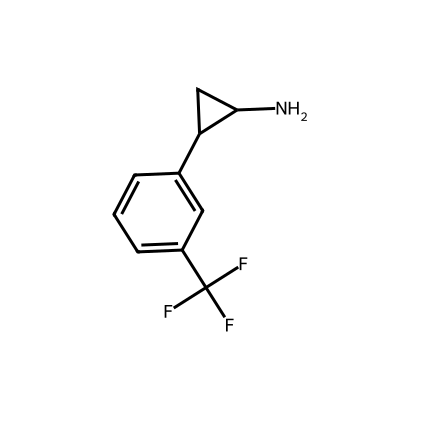 NC1CC1c1cccc(C(F)(F)F)c1